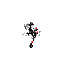 CC(C)C[C@H](NC(=O)CN(CCCCCCc1ccccc1)C(=O)CCOC(C)COC(C)(C)C)C(=O)N[C@@H](Cc1cnc[nH]1)C(=O)N[C@@H](C)C(=O)N[C@H](C(N)=O)[C@@H](C)OP(=O)(O)O